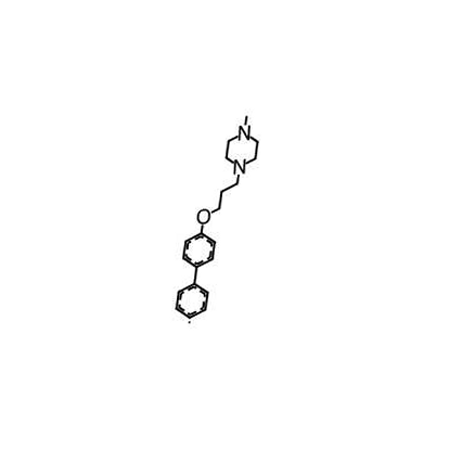 CN1CCN(CCCOc2ccc(-c3cc[c]cc3)cc2)CC1